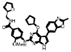 COc1cc(C(=O)NC[C@H]2CCCO2)ccc1Nc1nc(OC2CCCC2)c2c(-c3ccc4nc(C)oc4c3)c[nH]c2n1